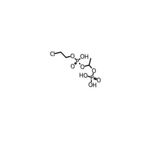 CC(OP(=O)(O)O)OP(=O)(O)OCCCl